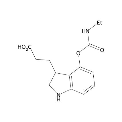 CCNC(=O)Oc1cccc2c1C(CCC(=O)O)CN2